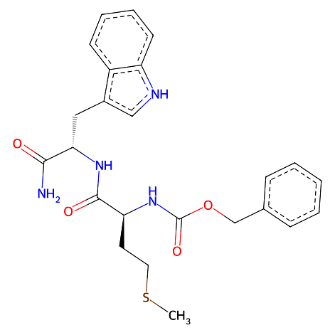 CSCC[C@H](NC(=O)OCc1ccccc1)C(=O)N[C@@H](Cc1c[nH]c2ccccc12)C(N)=O